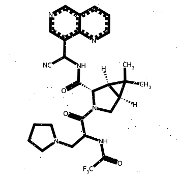 CC1(C)[C@@H]2[C@@H](C(=O)NC(C#N)c3cncc4cccnc34)N(C(=O)C(CN3CCCC3)NC(=O)C(F)(F)F)C[C@@H]21